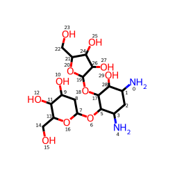 NC1CC(N)C(OC2CC(O)C(O)C(CO)O2)C(OC2OC(CO)C(O)C2O)C1O